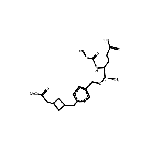 COC(=O)CC1CC(Cc2ccc(CO[C@H](C)C(CCC(N)=O)NC(=O)OC(C)(C)C)cc2)C1